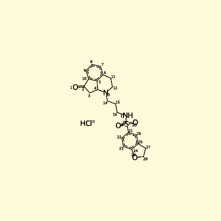 Cl.O=C1CC2c3c(cccc31)CCN2CCCNS(=O)(=O)c1ccc2c(c1)CCO2